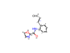 O=[C]/C=C/c1ccccc1NC(=O)c1ncco1